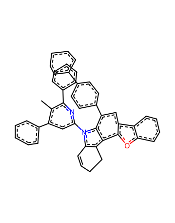 Cc1c(-c2ccccc2)cc(-n2c3c(c4c5oc6ccccc6c5cc(-c5ccc(-c6ccccc6)cc5)c42)CCC=C3)nc1-c1ccccc1